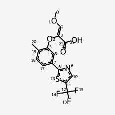 CO/C=C(\Oc1cc(-c2ncc(C(F)(F)F)s2)ccc1C)C(=O)O